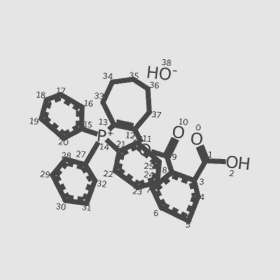 O=C(O)c1ccccc1C(=O)OC1=C([P+](c2ccccc2)(c2ccccc2)c2ccccc2)CCCCC1.[OH-]